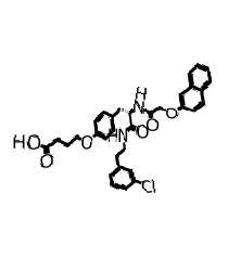 O=C(O)CCCOc1ccc(C[C@H](NC(=O)COc2ccc3ccccc3c2)C(=O)NCCc2cccc(Cl)c2)cc1